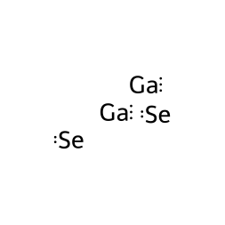 [Ga].[Ga].[Se].[Se]